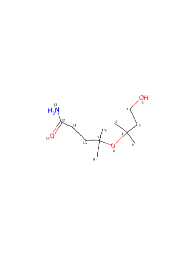 CC(C)(CCO)OC(C)(C)CCC(N)=O